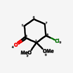 COC1(OC)C(=O)CCCC1Cl